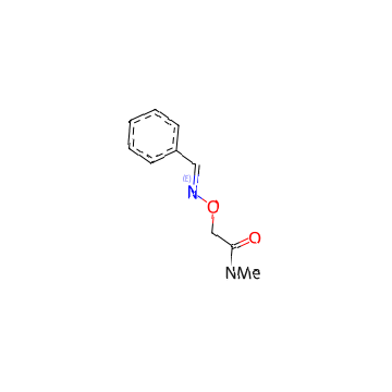 CNC(=O)CO/N=C/c1ccccc1